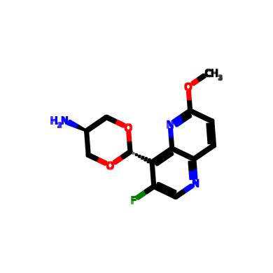 COc1ccc2ncc(F)c([C@H]3OC[C@H](N)CO3)c2n1